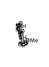 COc1ccc2ccc3c(c2n1)[C@@H](CCNC[C@@H]1CN(c2ccc4c(c2)NC(=O)CS4)C(=O)O1)CO3